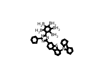 Bc1c(B)c(B)c(-c2nc(-c3ccccc3)nc(-c3ccc4c(c3)sc3c(-n5c6ccccc6c6ccccc65)cccc34)n2)c(B)c1B